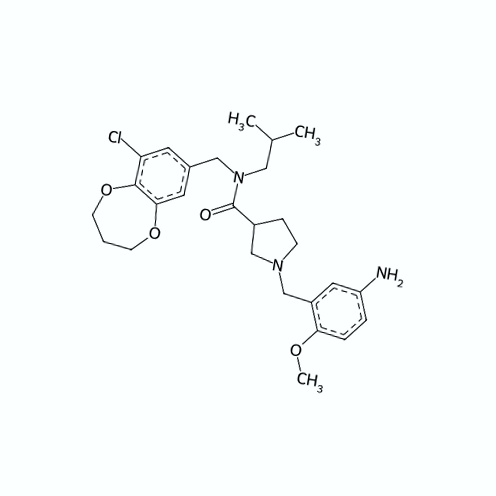 COc1ccc(N)cc1CN1CCC(C(=O)N(Cc2cc(Cl)c3c(c2)OCCCO3)CC(C)C)C1